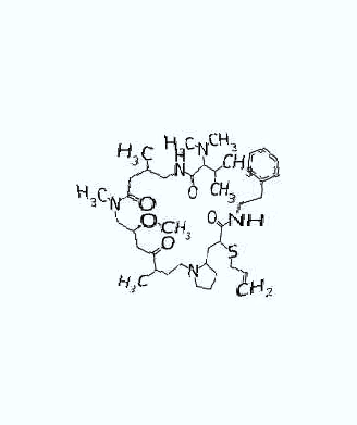 C=CCSC(CC1CCCN1CCC(C)C(=O)CC(CN(C)C(=O)CC(C)CNC(=O)C(C(C)C)N(C)C)OC)C(=O)NCCc1ccccc1